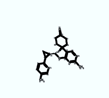 Cc1ccc(C2C[C@@H]2COc2nc(C)ncc2C2(F)CCC(=O)CC2)nc1